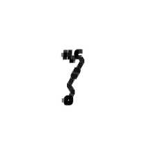 [CH2]CC#CCC[O]